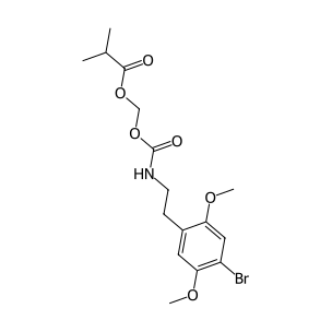 COc1cc(CCNC(=O)OCOC(=O)C(C)C)c(OC)cc1Br